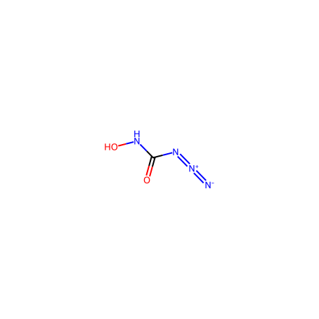 [N-]=[N+]=NC(=O)NO